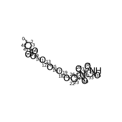 Cc1ccc(S(=O)(=O)OCCOCCOCCOCCOc2ccc3c(c2)C(=O)N(C2(C)CCC(=O)NC2=O)C3=O)cc1